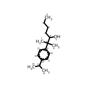 CCCCC(O)C(C)(C)c1ccc(C(C)C)cc1